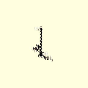 CCCCCCCCCCCCC(CC(O)COP(=O)(O)OCCN)C(=O)O